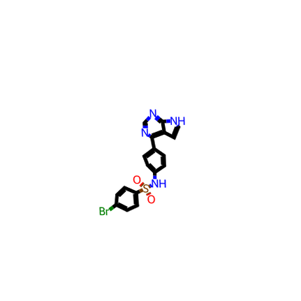 O=S(=O)(Nc1ccc(-c2ncnc3[nH]ccc23)cc1)c1ccc(Br)cc1